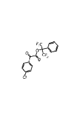 O=C(OC(c1ccccc1)(C(F)(F)F)C(F)(F)F)C(=O)c1ccc(Cl)cc1